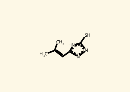 CC(C)=Cc1nnc(S)[nH]1